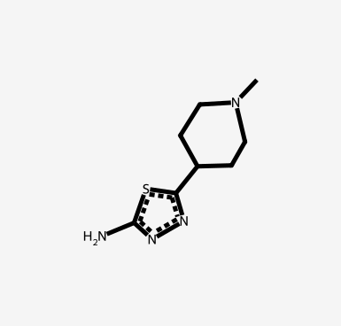 CN1CCC(c2nnc(N)s2)CC1